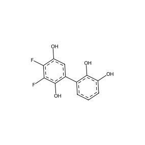 Oc1cccc(-c2cc(O)c(F)c(F)c2O)c1O